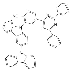 N#Cc1ccc(-c2nc(-c3ccccc3)nc(-c3ccccc3)n2)cc1-n1c2ccccc2c2cc(-n3c4ccccc4c4ccccc43)ccc21